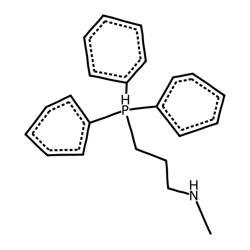 CNCCC[PH](c1ccccc1)(c1ccccc1)c1ccccc1